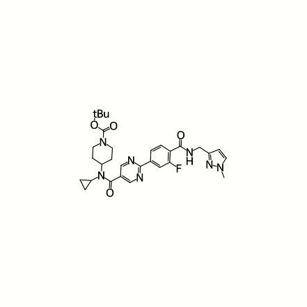 Cn1ccc(CNC(=O)c2ccc(-c3ncc(C(=O)N(C4CC4)C4CCN(C(=O)OC(C)(C)C)CC4)cn3)cc2F)n1